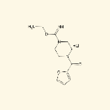 CCOC(=N)N1CCN(C(=O)c2ccco2)CC1.Cl